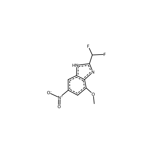 COc1cc([N+](=O)[O-])cc2[nH]c(C(F)F)nc12